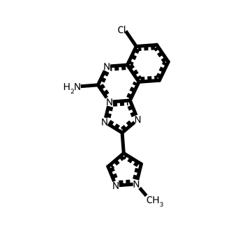 Cn1cc(-c2nc3c4cccc(Cl)c4nc(N)n3n2)cn1